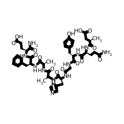 C[C@H](NC(=O)[C@H](C)NC(=O)[C@H](Cc1cnc[nH]1)NC(=O)CNC(=O)[C@H](Cc1ccc(O)cc1)NC(=O)[C@H](CCC(N)=O)NC(=O)[C@@H](C)CC(=O)O)C(=O)N[C@@H](Cc1ccccc1)C(=O)N[C@@H](CCC(=O)O)C(N)=O